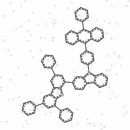 c1ccc(-c2cc(-c3ccccc3)c3oc4c(-c5ccc6c7ccccc7n(-c7ccc(-c8c9ccccc9c(-c9ccccc9)c9ccccc89)cc7)c6c5)cc(-c5ccccc5)cc4c3c2)cc1